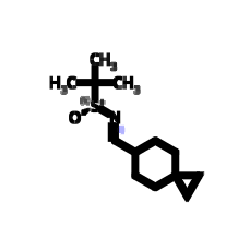 CC(C)(C)[S@@+]([O-])/N=C/C1CCC2(CC1)CC2